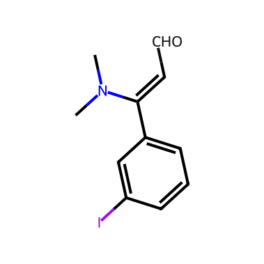 CN(C)C(=CC=O)c1cccc(I)c1